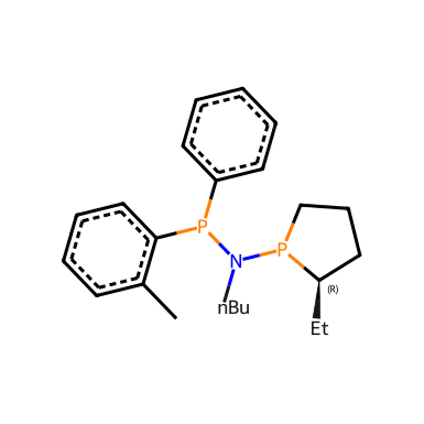 CCCCN(P(c1ccccc1)c1ccccc1C)P1CCC[C@H]1CC